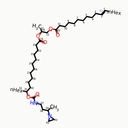 CCCCCC/C=C/CCCCCCCCCC(=O)OCC(C)OC(=O)CCCCCCCCCCC(CCCCCC)OC(=O)NCCC(C)N1CC1